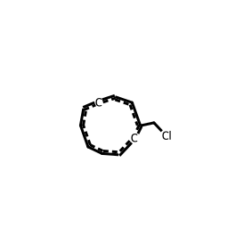 ClCc1ccccccccc1